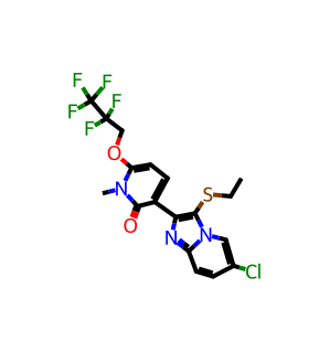 CCSc1c(-c2ccc(OCC(F)(F)C(F)(F)F)n(C)c2=O)nc2ccc(Cl)cn12